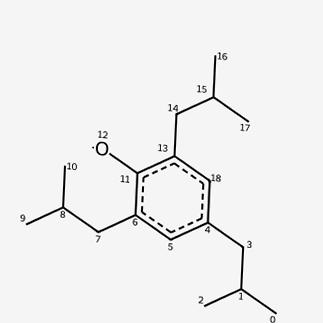 CC(C)Cc1cc(CC(C)C)c([O])c(CC(C)C)c1